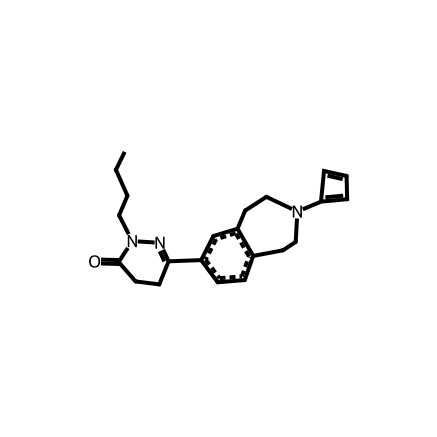 CCCCN1N=C(c2ccc3c(c2)CCN(C2=CC=C2)CC3)CCC1=O